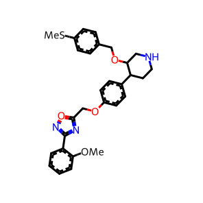 COc1ccccc1-c1noc(COc2ccc(C3CCNCC3OCc3ccc(SC)cc3)cc2)n1